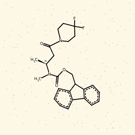 C[C@@H](CC(=O)N1CCC(F)(F)CC1)N(C)C(=O)OCC1c2ccccc2-c2ccccc21